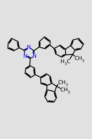 CC1(C)c2ccccc2-c2cc(-c3cccc(-c4nc(-c5ccccc5)nc(-c5cccc(-c6ccc7c(c6)-c6ccccc6C7(C)C)c5)n4)c3)ccc21